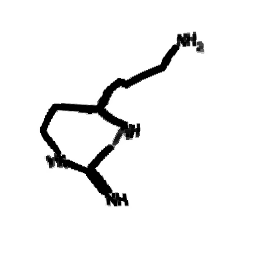 N=C1NCCC(CCN)N1